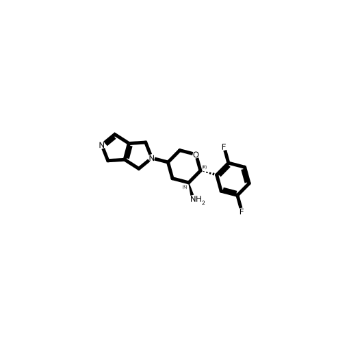 N[C@H]1CC(N2CC3=C(CN=C3)C2)CO[C@@H]1c1cc(F)ccc1F